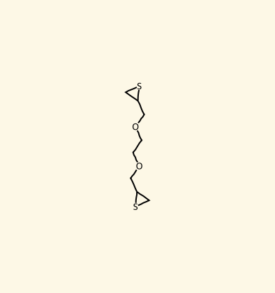 C(COCC1CS1)OCC1CS1